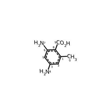 Cc1cc(N)cc(N)c1C(=O)O